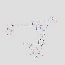 CC(C)[C@H](NC(=O)CCCCCCC(=O)ON1C(=O)CCC1=O)C(=O)N[C@@H](CCCNC(N)=O)C(=O)Nc1ccc(COC(=O)N(C)[C@H](C(=O)N[C@H](C)C(C)C)C(C)C)cc1